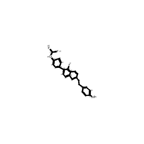 CCCc1ccc(CCc2ccc3c(F)c(-c4ccc(OC(F)F)cc4)ccc3c2)cc1